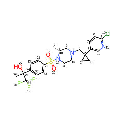 C[C@@H]1CN(CC2(c3ccc(Cl)nc3)CC2)CCN1S(=O)(=O)c1ccc(C(C)(O)C(F)(F)F)cc1